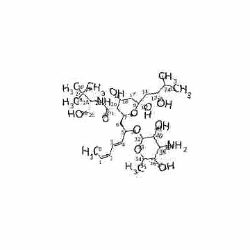 C/C=C\C=C\[C@@H](C[C@@H]1O[C@](O)(C[C@@H](O)C(C)C)C[C@H](O)[C@H]1C(=O)N[C@H](CO)C(C)(C)C)OC1OC(C)C(O)C(N)C1O